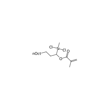 C=C(C)C(=O)OC(CCCCCCCCCC)[Si](C)(Cl)Cl